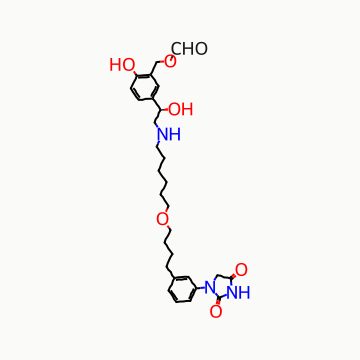 O=COCc1cc([C@@H](O)CNCCCCCCOCCCCc2cccc(N3CC(=O)NC3=O)c2)ccc1O